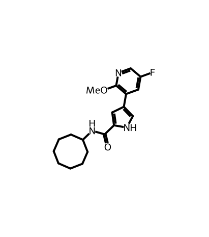 COc1ncc(F)cc1-c1c[nH]c(C(=O)NC2CCCCCCC2)c1